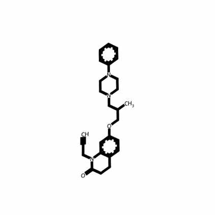 C#CCN1C(=O)CCc2ccc(OCC(C)CN3CCN(c4ccccc4)CC3)cc21